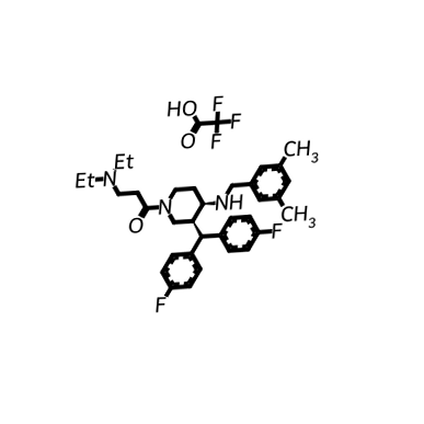 CCN(CC)CCC(=O)N1CC[C@@H](NCc2cc(C)cc(C)c2)[C@@H](C(c2ccc(F)cc2)c2ccc(F)cc2)C1.O=C(O)C(F)(F)F